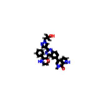 Cn1cc(-c2ccc3nc(-c4cnn(CC(C)(C)O)c4)nc([C@H]4OCCNC4C4CCCCC4)c3c2)c2cc[nH]c2c1=O